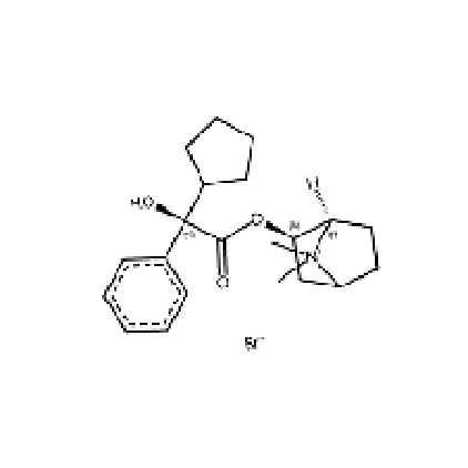 C[N+]1(C)C2CC[C@@H]1[C@H](OC(=O)[C@](O)(c1ccccc1)C1CCCC1)C2.[Br-]